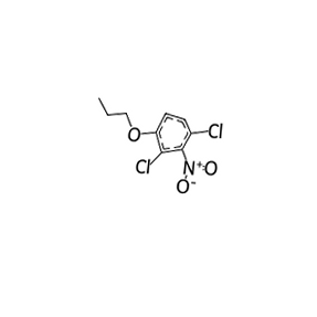 CCCOc1ccc(Cl)c([N+](=O)[O-])c1Cl